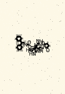 N=C1N[C@H]2[C@H](CN3C(=O)CCC3=O)NC(=N)N3C[C@H](OC(=O)NCC(c4ccccc4)c4ccccc4)C(O)(O)[C@]23N1